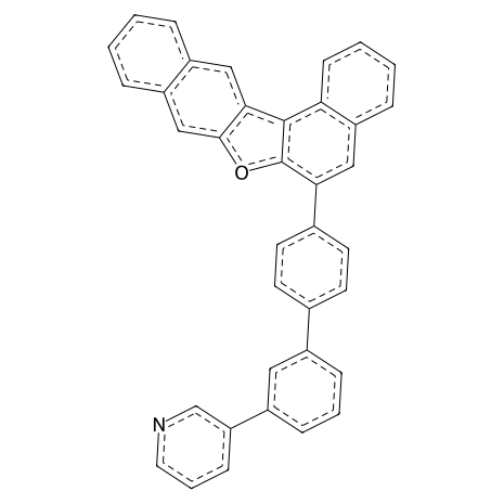 c1cncc(-c2cccc(-c3ccc(-c4cc5ccccc5c5c4oc4cc6ccccc6cc45)cc3)c2)c1